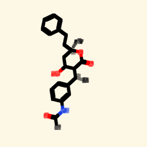 CCC[C@@]1(CCc2ccccc2)CC(O)C([C@H](CC)c2cccc(NC(=O)CC)c2)C(=O)O1